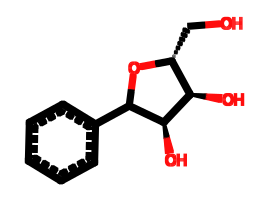 OC[C@H]1OC(c2ccccc2)[C@H](O)[C@@H]1O